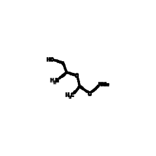 CNOC(C)OC(N)CO